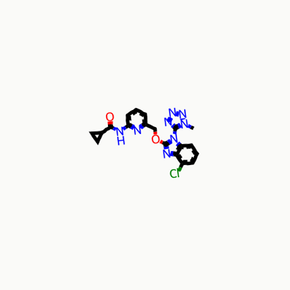 Cn1nnnc1-n1c(OCc2cccc(NC(=O)C3CC3)n2)nc2c(Cl)cccc21